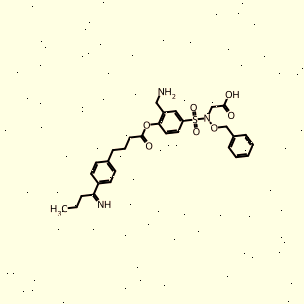 CCCC(=N)c1ccc(CCCC(=O)Oc2ccc(S(=O)(=O)N(CC(=O)O)OCc3ccccc3)cc2CN)cc1